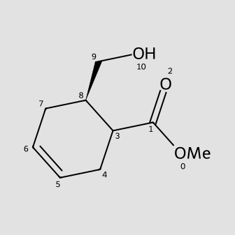 COC(=O)C1CC=CC[C@H]1CO